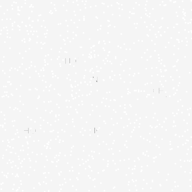 C=CCN(C)CCCO.Cl